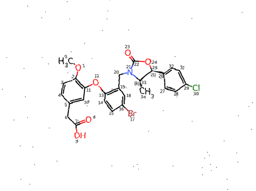 COc1ccc(CC(=O)O)cc1Oc1ccc(Br)cc1CN1C(=O)O[C@@H](c2ccc(Cl)cc2)[C@H]1C